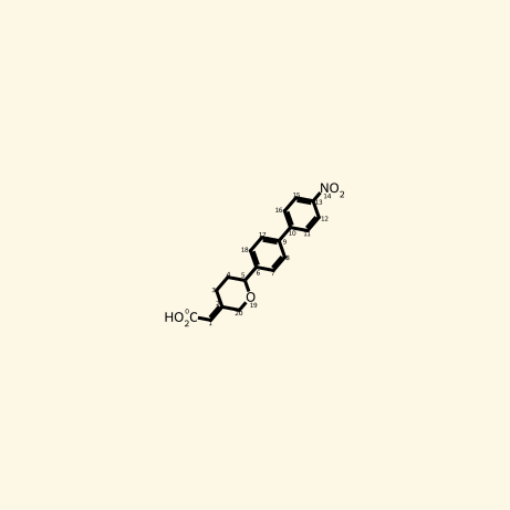 O=C(O)C=C1CCC(c2ccc(-c3ccc([N+](=O)[O-])cc3)cc2)OC1